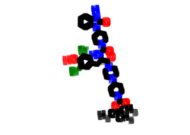 CC(C)(C)OC(=O)N1CCC(N2CCN(C(=O)[C@@H](Cc3cc(Br)c(O)c(Br)c3)NC(=O)N3CCC(n4c(=O)[nH]c5ccccc54)CC3)CC2)CC1